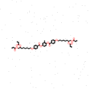 C=CC(=O)OCC(CCCCCCOc1ccc(C(=O)Oc2ccc(OC(=O)c3ccc(OCCCCCCC(COC(=O)C=C)OC(=O)C=C)cc3)c(C)c2)cc1)OC(=O)C=C